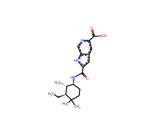 CC[C@H]1[C@H](C)[C@@H](NC(=O)c2cc3cc(C(=O)O)ncc3[nH]2)CCC1(C)C